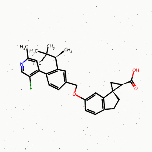 Cc1cc(-c2ccc(COc3ccc4c(c3)[C@]3(CC4)C[C@H]3C(=O)O)cc2[C@H](C)C(C)(C)C)c(F)cn1